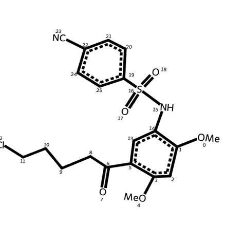 COc1cc(OC)c(C(=O)CCCCCl)cc1NS(=O)(=O)c1ccc(C#N)cc1